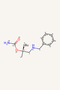 CCCC[C@](C)(CNCc1ccccc1)OC(N)=O